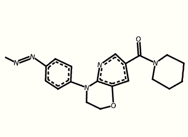 C/N=N/c1ccc(N2CCOc3cc(C(=O)N4CCCCC4)cnc32)cc1